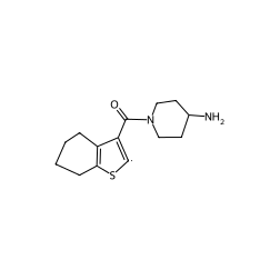 NC1CCN(C(=O)c2[c]sc3c2CCCC3)CC1